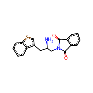 N[C@H](Cc1csc2ccccc12)CN1C(=O)c2ccccc2C1=O